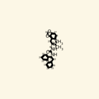 CN(C)[C@H](CNC(=O)NC(Cc1ccccc1)c1ccccc1)Cc1cccc2c1OCO2